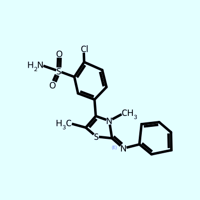 Cc1s/c(=N/c2ccccc2)n(C)c1-c1ccc(Cl)c(S(N)(=O)=O)c1